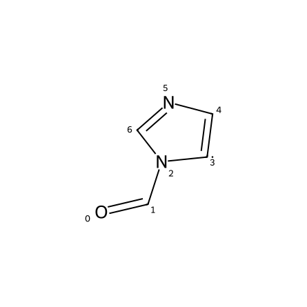 O=Cn1[c]cnc1